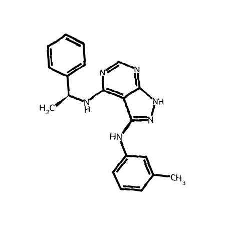 Cc1cccc(Nc2n[nH]c3ncnc(N[C@@H](C)c4ccccc4)c23)c1